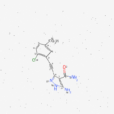 NC(=O)c1c(C#Cc2cc(C(=O)O)ccc2Cl)n[nH]c1N